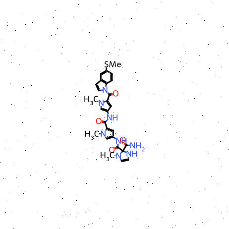 CSc1ccc2c(ccn2C(=O)c2cc(NC(=O)c3cc(NC(=O)C4(C(N)=O)NC=CN4C)cn3C)cn2C)c1